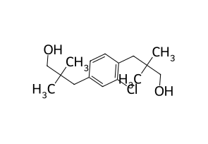 CC(C)(CO)Cc1ccc(CC(C)(C)CO)c(Cl)c1